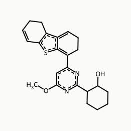 COc1cc(C2=c3sc4c(c3=CCC2)CCC=C4)nc(C2CCCCC2O)n1